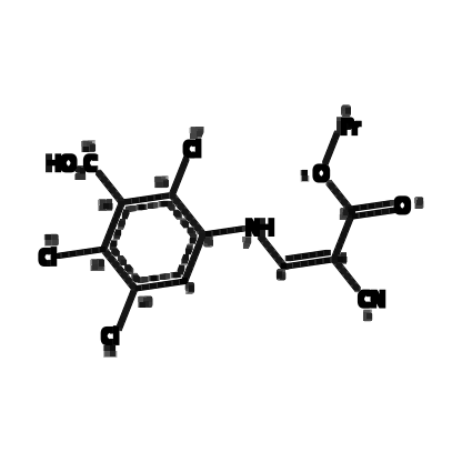 CC(C)OC(=O)C(C#N)=CNc1cc(Cl)c(Cl)c(C(=O)O)c1Cl